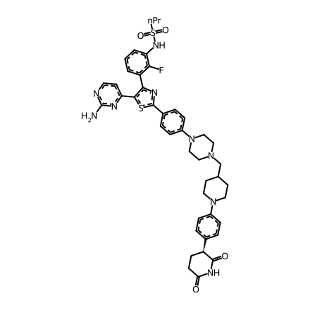 CCCS(=O)(=O)Nc1cccc(-c2nc(-c3ccc(N4CCN(CC5CCN(c6ccc([C@@H]7CCC(=O)NC7=O)cc6)CC5)CC4)cc3)sc2-c2ccnc(N)n2)c1F